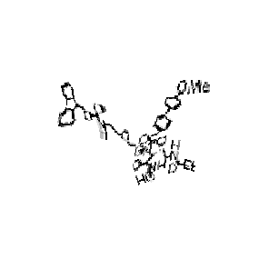 CCC(=O)NCC[C@H](C(=O)NO)N(OCCOCCNC(=O)OCC1c2ccccc2-c2ccccc21)S(=O)(=O)c1ccc(-c2ccc(OC)cc2)cc1